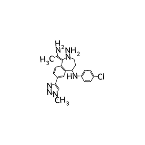 C/C(N)=C1\c2ccc(-c3cn(C)nn3)cc2C(Nc2ccc(Cl)cc2)CCN1N